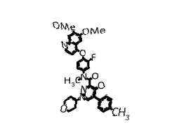 COc1cc2nccc(Oc3ccc(N(C)C(=O)c4nn(C5CCOCC5)cc(-c5ccc(C)cc5)c4=O)cc3F)c2cc1OC